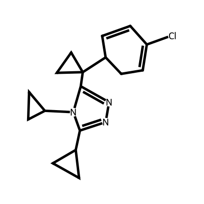 ClC1=CCC(C2(c3nnc(C4CC4)n3C3CC3)CC2)C=C1